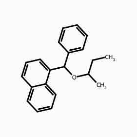 CCC(C)OC(c1ccccc1)c1cccc2ccccc12